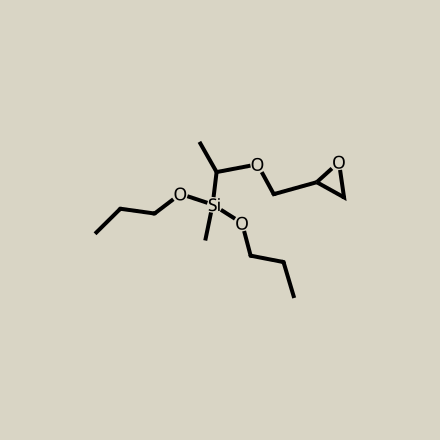 CCCO[Si](C)(OCCC)C(C)OCC1CO1